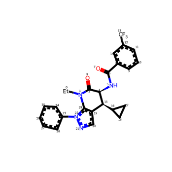 CCN1C(=O)[C@@H](NC(=O)c2cccc(C(F)(F)F)c2)[C@@H](C2CC2)c2cnn(-c3ccccc3)c21